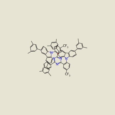 Cc1cc(C)cc(-c2ccc3c(c2)c2cc(-c4cc(C)cc(C)c4)ccc2n3-c2ccc(C(F)(F)F)cc2-c2nc(-c3ccccc3)nc(-c3cc(C(F)(F)F)ccc3-n3c4ccc(-c5cc(C)cc(C)c5)cc4c4cc(-c5cc(C)cc(C)c5)ccc43)n2)c1